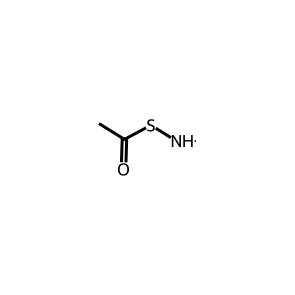 CC(=O)S[NH]